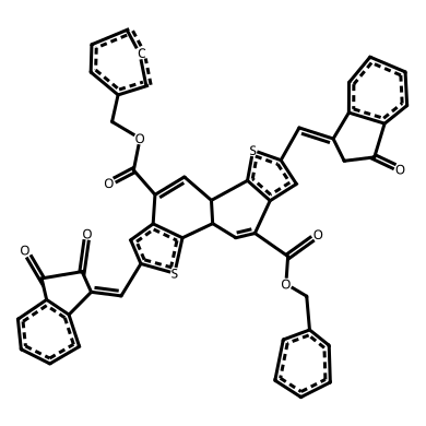 O=C(OCc1ccccc1)C1=CC2c3sc(/C=C4\CC(=O)c5ccccc54)cc3C(C(=O)OCc3ccccc3)=CC2c2sc(/C=C3\C(=O)C(=O)c4ccccc43)cc21